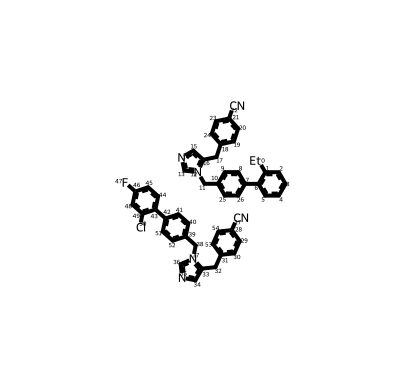 CCc1ccccc1-c1ccc(Cn2cncc2Cc2ccc(C#N)cc2)cc1.N#Cc1ccc(Cc2cncn2Cc2ccc(-c3ccc(F)cc3Cl)cc2)cc1